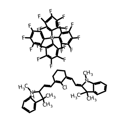 CN1C(=CC=C2CCCC(C=CC3[NH+](C)c4ccccc4C3(C)C)=C2Cl)C(C)(C)c2ccccc21.Fc1c(F)c(F)c([B-](c2c(F)c(F)c(F)c(F)c2F)(c2c(F)c(F)c(F)c(F)c2F)c2c(F)c(F)c(F)c(F)c2F)c(F)c1F